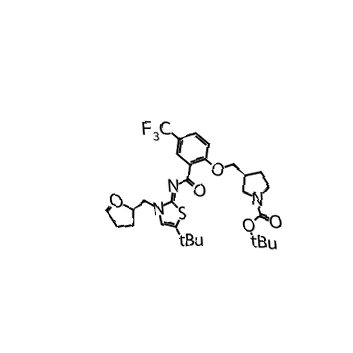 CC(C)(C)OC(=O)N1CC[C@H](COc2ccc(C(F)(F)F)cc2C(=O)/N=c2\sc(C(C)(C)C)cn2C[C@H]2CCCO2)C1